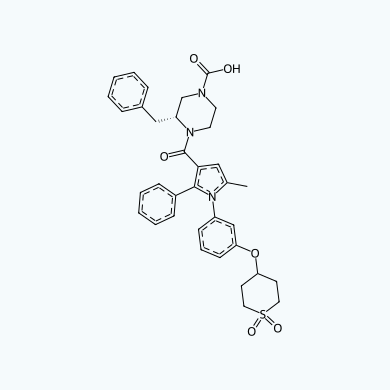 Cc1cc(C(=O)N2CCN(C(=O)O)C[C@H]2Cc2ccccc2)c(-c2ccccc2)n1-c1cccc(OC2CCS(=O)(=O)CC2)c1